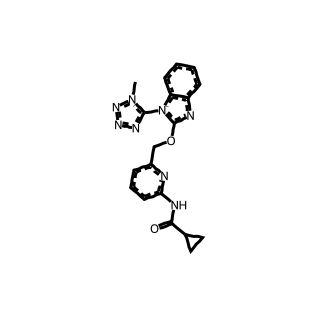 Cn1nnnc1-n1c(OCc2cccc(NC(=O)C3CC3)n2)nc2ccccc21